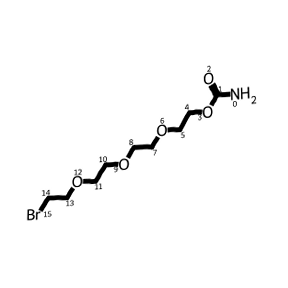 NC(=O)OCCOCCOCCOCCBr